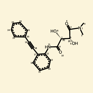 CN(C)C(=O)[C@H](O)[C@@H](O)C(=O)Nc1ccccc1C#Cc1ccccc1